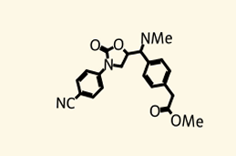 CNC(c1ccc(CC(=O)OC)cc1)C1CN(c2ccc(C#N)cc2)C(=O)O1